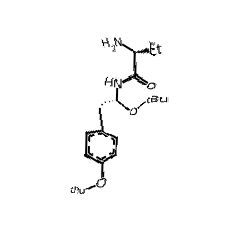 CC[C@H](N)C(=O)N[C@@H](Cc1ccc(OC(C)(C)C)cc1)OC(C)(C)C